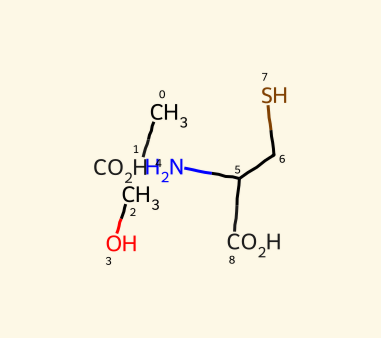 CC(=O)O.CO.NC(CS)C(=O)O